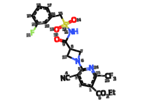 CCOC(=O)c1cc(C#N)c(N2CC(C(=O)NS(=O)(=O)Cc3cccc(F)c3)C2)nc1C(F)(F)F